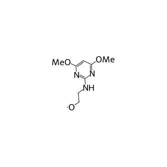 COc1cc(OC)nc(NCC[O])n1